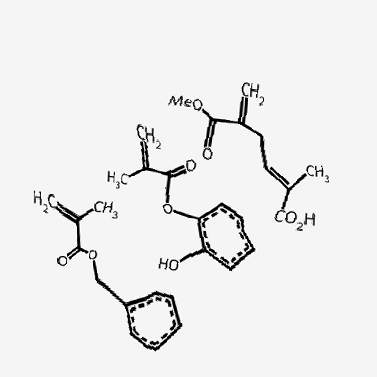 C=C(C)C(=O)OCc1ccccc1.C=C(C)C(=O)Oc1ccccc1O.C=C(CC=C(C)C(=O)O)C(=O)OC